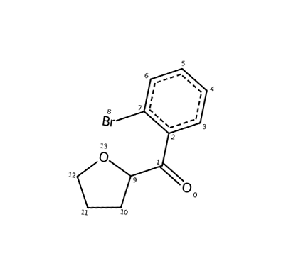 O=C(c1ccccc1Br)C1CCCO1